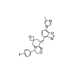 Cc1cn(-c2ccc(/C=C3\CC4(COC4)CN4C3=NOCC4c3ccc(F)cc3)c3ncoc23)cn1